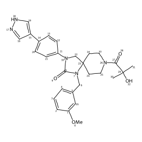 COc1cccc(CN2C(=O)N(c3ccc(-c4cn[nH]c4)cc3)CC23CCN(C(=O)C(C)(C)O)CC3)c1